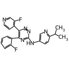 CC(C)c1ccc(Nc2nnc(-c3ccncc3F)c(-c3ccccc3F)n2)cn1